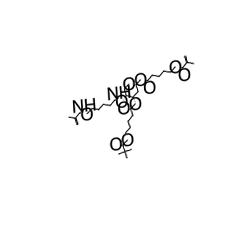 C=C(C)C(=N)OCCCCC(=N)O[C@@H]1COC(OC(=O)CCCCOC(=O)C(=C)C)C[C@@H]1OC(=O)CCCCOC(=O)C(C)(C)C